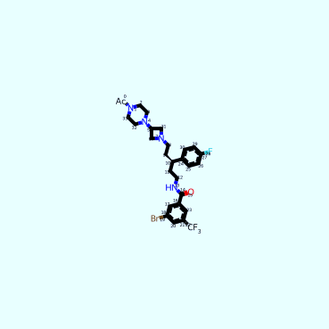 CC(=O)N1CCN(C2CN(CC[C@H](CCNC(=O)c3cc(Br)cc(C(F)(F)F)c3)c3ccc(F)cc3)C2)CC1